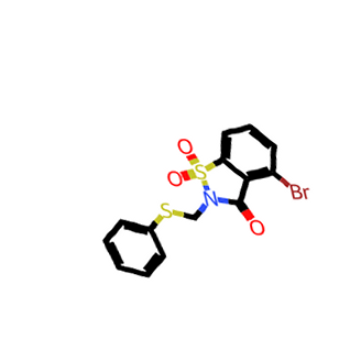 O=C1c2c(Br)cccc2S(=O)(=O)N1CSc1ccccc1